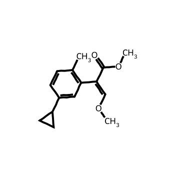 CO/C=C(/C(=O)OC)c1cc(C2CC2)ccc1C